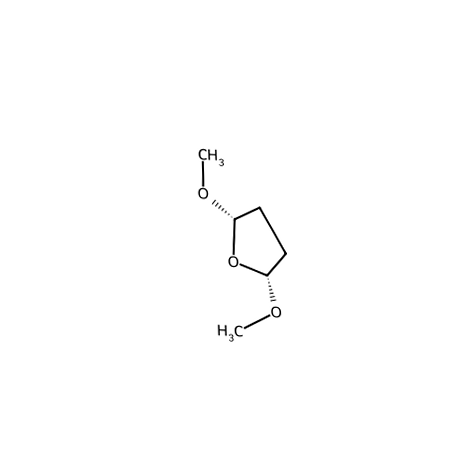 CO[C@H]1CC[C@@H](OC)O1